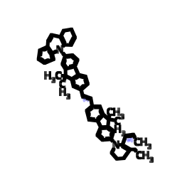 C/C=C\C1=C(CC)CCCN1c1ccc2c(c1)C(C)(C)c1cc(/C=C/c3ccc4c(c3)C(C)(C)c3cc(N5C6=C(C=Cc7ccccc75)CCC=C6)ccc3-4)ccc1-2